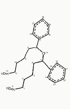 CCCCCCCCCCCCCCC(OC(CCCCCCCCCCCCCC)c1ccccc1)c1ccccc1